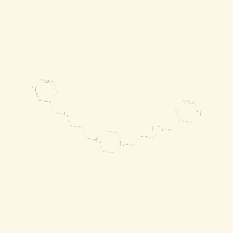 c1cncc(CNCCCN2CCN(CCCNCc3cccnc3)CC2)c1